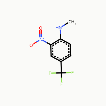 CNc1ccc(C(F)(F)F)cc1[N+](=O)[O-]